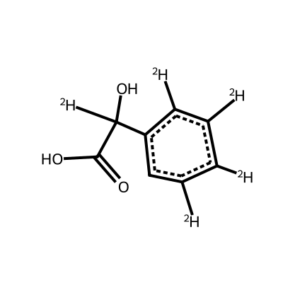 [2H]c1cc(C([2H])(O)C(=O)O)c([2H])c([2H])c1[2H]